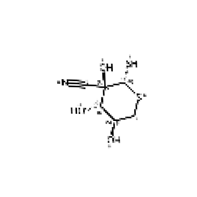 N#C[C@]1(O)[C@H](S)SC[C@@H](O)[C@@H]1O